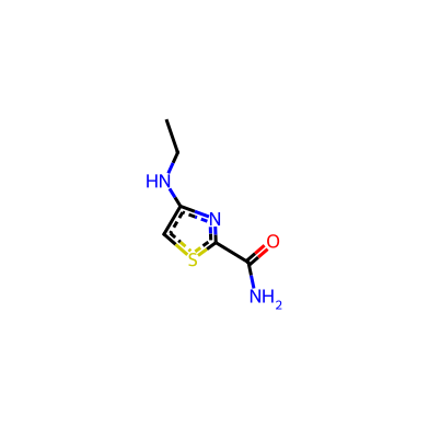 CCNc1csc(C(N)=O)n1